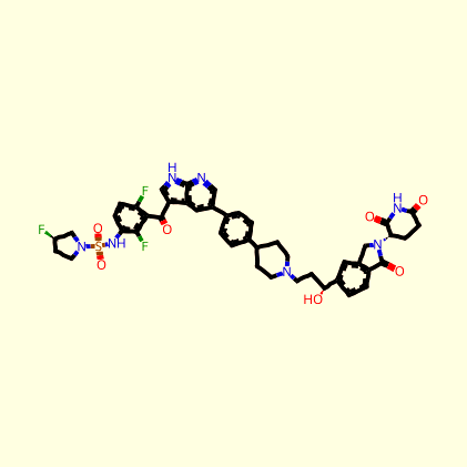 O=C1CC[C@H](N2Cc3cc([C@H](O)CCN4CCC(c5ccc(-c6cnc7[nH]cc(C(=O)c8c(F)ccc(NS(=O)(=O)N9CC[C@@H](F)C9)c8F)c7c6)cc5)CC4)ccc3C2=O)C(=O)N1